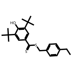 CCc1ccc(CSC(=S)c2cc(C(C)(C)C)c(O)c(C(C)(C)C)c2)cc1